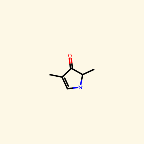 CC1=[C][N]C(C)C1=O